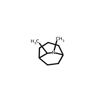 CC1C2CCCC(CC2)N1C